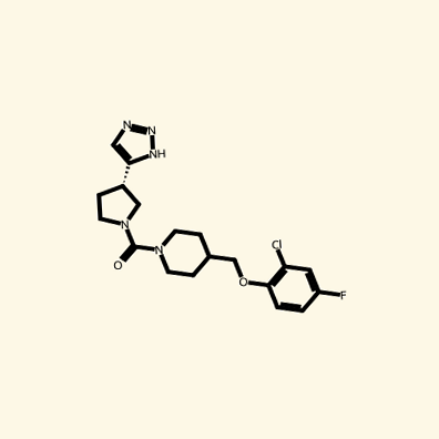 O=C(N1CCC(COc2ccc(F)cc2Cl)CC1)N1CC[C@H](c2cnn[nH]2)C1